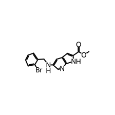 COC(=O)c1cc2cc(NCc3ccccc3Br)cnc2[nH]1